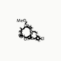 COCCOC1/C=C/C(C)C(C)CS(=O)(=O)NC(=O)c2ccc3c(c2)N(CCCCc2cc(Cl)ccc2CO3)CC2CCC21